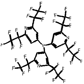 FC(F)(F)C(F)(F)c1cc(P(c2cc(C(F)(F)C(F)(F)F)nc(C(F)(F)C(F)(F)F)c2)c2cc(C(F)(F)C(F)(F)F)nc(C(F)(F)C(F)(F)F)c2)cc(C(F)(F)C(F)(F)F)n1